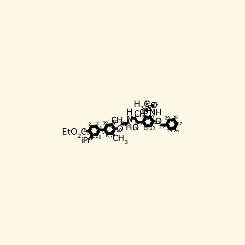 CCOC(=O)c1ccc(-c2cc(C)c(OCCN[C@@H](C)[C@H](O)c3ccc(OCc4ccccc4)c(NS(C)(=O)=O)c3)c(C)c2)cc1C(C)C